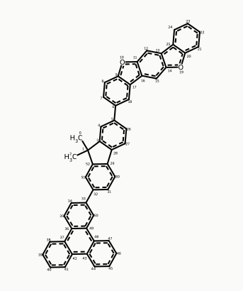 CC1(C)c2cc(-c3ccc4oc5cc6c(cc5c4c3)oc3ccccc36)ccc2-c2ccc(-c3ccc4c5ccccc5c5ccccc5c4c3)cc21